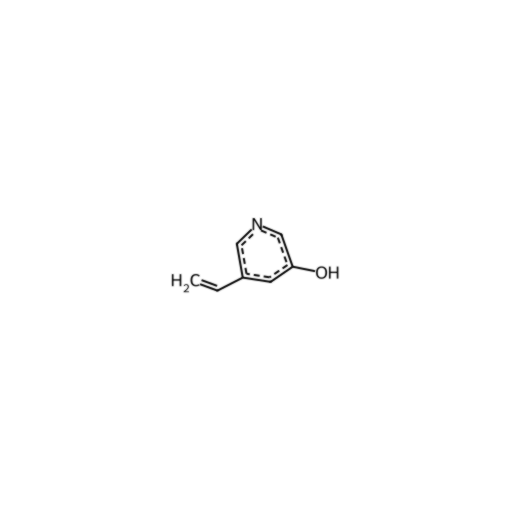 C=Cc1cncc(O)c1